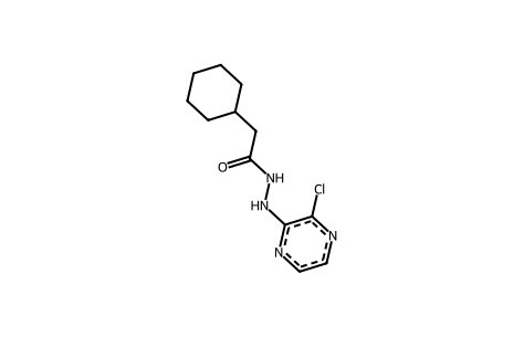 O=C(CC1CCCCC1)NNc1nccnc1Cl